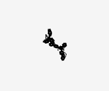 c1ccc(-c2cc(-c3ccc(-c4cccc5c4sc4ccc6c(-c7ccccc7)nc7ccccc7c6c45)cc3)nc(-c3ccc4c(c3)oc3ccccc34)n2)cc1